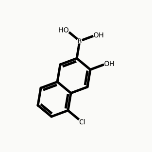 OB(O)c1cc2cccc(Cl)c2cc1O